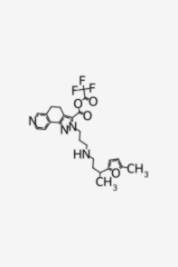 Cc1ccc(C(C)CCNCCCn2nc3c(c2C(=O)OC(=O)C(F)(F)F)CCc2cnccc2-3)o1